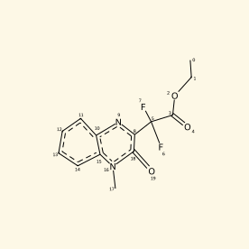 CCOC(=O)C(F)(F)c1nc2ccccc2n(C)c1=O